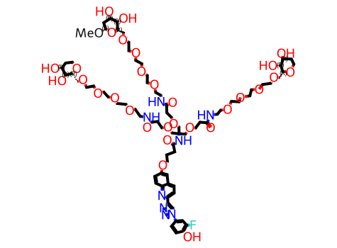 CO[C@@H]1C[C@@H](O)[C@@H](O)[C@@H](COCCOCCOCCOCCNC(=O)CCOCC(COCCC(=O)NCCOCCOCCOCCOC[C@H]2OCC[C@@H](O)[C@H]2O)(COCCC(=O)NCCOCCOCCOCCOC[C@H]2OCC[C@@H](O)[C@H]2O)NC(=O)CCCOc2ccc3nc(-c4cn(-c5ccc(O)c(F)c5)nn4)ccc3c2)O1